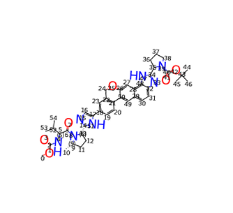 COC(=O)N[C@H](C(=O)N1[C@@H](C)CC[C@H]1c1ncc(-c2ccc3c(c2)COc2cc4c(ccc5nc(C6CCCN6C(=O)OC(C)(C)C)[nH]c54)cc2-3)[nH]1)C(C)C